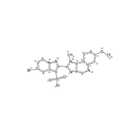 CCS(=O)(=O)c1c(-c2nc3cnc4cc(OC(F)(F)F)ccc4c3n2C)nn2ccc(Br)cc12